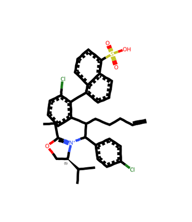 C=CCCCC(c1cccc(Cl)c1-c1cccc2c(S(=O)(=O)O)cccc12)C(c1ccc(Cl)cc1)[N+]1=C(CC)OC[C@@H]1C(C)C